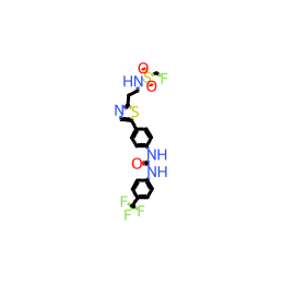 O=C(Nc1ccc(-c2cnc(CCNS(=O)(=O)CF)s2)cc1)Nc1ccc(C(F)(F)F)cc1